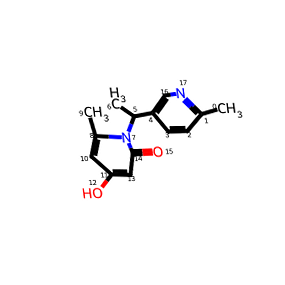 Cc1ccc(C(C)n2c(C)cc(O)cc2=O)cn1